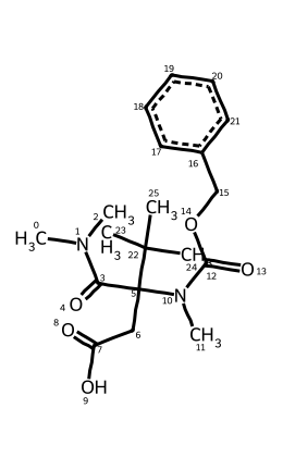 CN(C)C(=O)C(CC(=O)O)(N(C)C(=O)OCc1ccccc1)C(C)(C)C